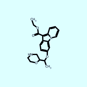 CCOC(=O)c1c2ccc(OC(C)C3CNCCO3)cc2n2ccccc12